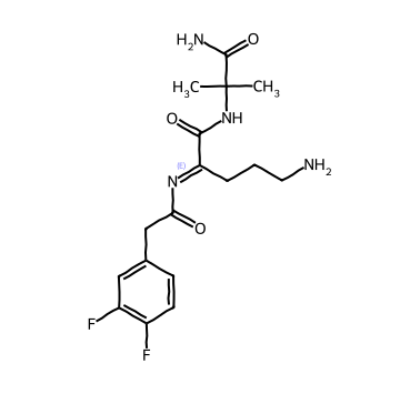 CC(C)(NC(=O)/C(CCCN)=N/C(=O)Cc1ccc(F)c(F)c1)C(N)=O